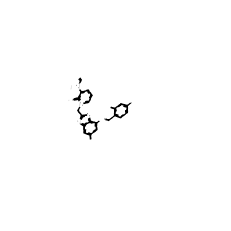 O=CNc1cccn(Cc2nc3c(OCc4ccc(F)cc4F)cc(F)cc3[nH]2)c1=O